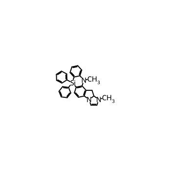 CN1c2ccccc2[Si](c2ccccc2)(c2ccccc2)c2ccc3c(c21)CC1N(C)C=CN31